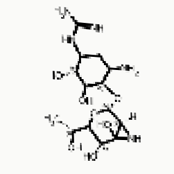 C[C@@H](O)C1O[C@H](O[C@@H]2C(N)CC(NC(=N)N)[C@@H](O)C2O)[C@H]2NC2(O)[C@@H]1O